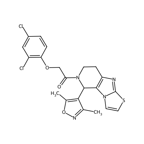 Cc1noc(C)c1C1c2c(nc3sccn23)CCN1C(=O)COc1ccc(Cl)cc1Cl